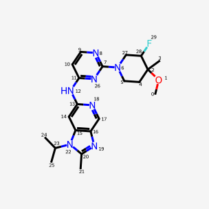 COC1(C)CCN(c2nccc(Nc3cc4c(cn3)nc(C)n4C(C)C)n2)CC1F